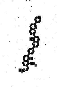 C/C=C\c1ccc2c(c1N)NC(c1ccc(C3=CC4NC(c5ccc6c(c5)N=C(c5ccncc5)CC6)=CC=C4C=C3)cc1)C=C2